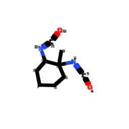 CC1(N=C=O)CCCCC1N=C=O